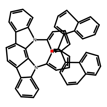 c1cc(-c2cccc3ccccc23)nc(-n2c3ccccc3c3ccc4c5ccccc5n(-c5cccc(-c6cccc7ccccc67)n5)c4c32)c1